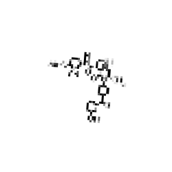 COc1ccc(NC(=O)C2CNN3C=C(C)N(c4ccc(C(=O)c5cccc(O)c5)cc4)C(=O)C23)cc1C#N